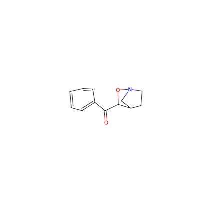 O=C(c1[c]cccc1)C1ON2CCC1C2